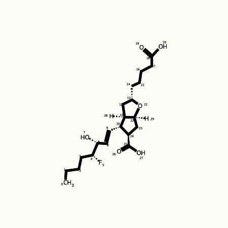 CCCC[C@@H](F)[C@H](O)/C=C/[C@@H]1[C@H]2C[C@H](CCCCC(=O)O)O[C@H]2C[C@H]1C(=O)O